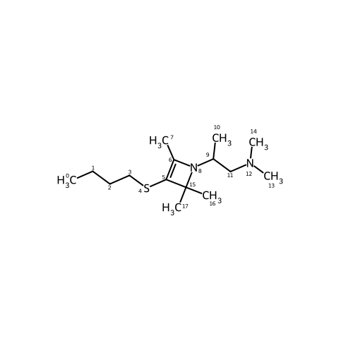 CCCCSC1=C(C)N(C(C)CN(C)C)C1(C)C